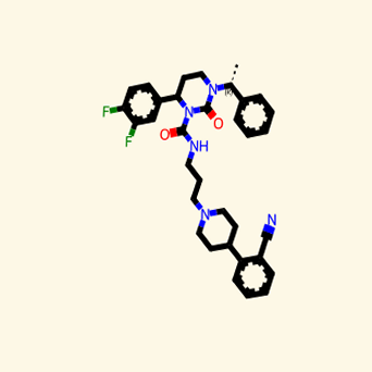 C[C@H](c1ccccc1)N1CCC(c2ccc(F)c(F)c2)N(C(=O)NCCCN2CCC(c3ccccc3C#N)CC2)C1=O